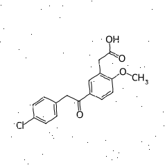 COc1ccc(C(=O)Cc2ccc(Cl)cc2)cc1CC(=O)O